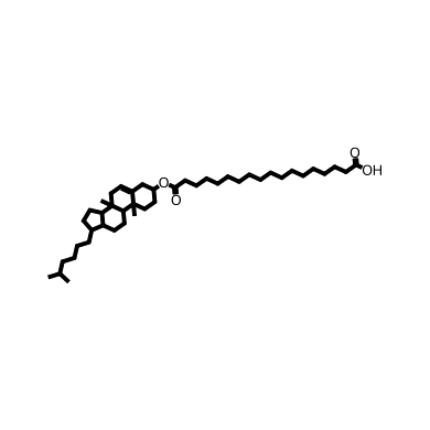 CC(C)CCCCC1CCC2C1CCC1C3(C)CCC(OC(=O)CCCCCCCCCCCCCCCCC(=O)O)CC3=CCC21C